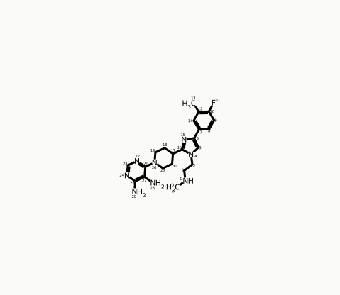 CNCCn1cc(-c2ccc(F)c(C)c2)nc1C1CCN(c2ncnc(N)c2N)CC1